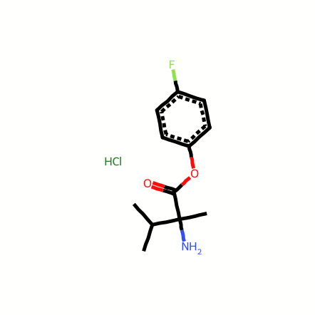 CC(C)C(C)(N)C(=O)Oc1ccc(F)cc1.Cl